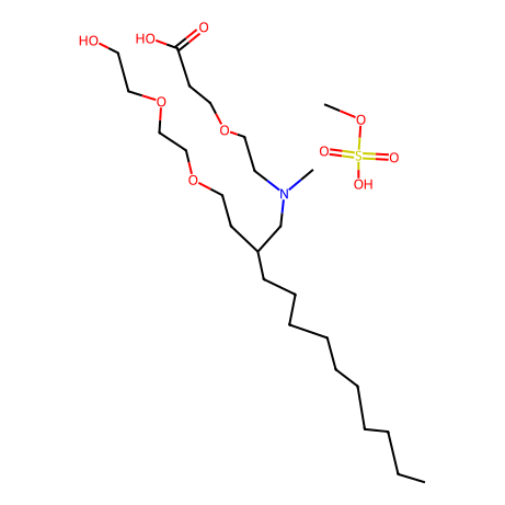 CCCCCCCCCCC(CCOCCOCCO)CN(C)CCOCCC(=O)O.COS(=O)(=O)O